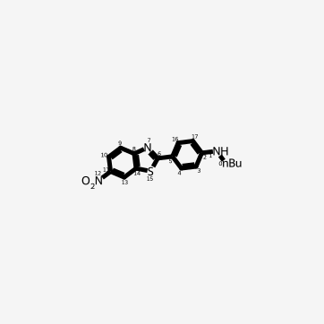 CCCCNc1ccc(-c2nc3ccc([N+](=O)[O-])cc3s2)cc1